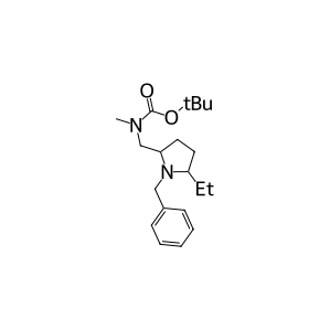 CCC1CCC(CN(C)C(=O)OC(C)(C)C)N1Cc1ccccc1